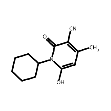 Cc1cc(O)n(C2CCCCC2)c(=O)c1C#N